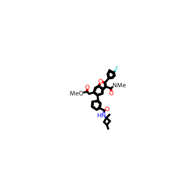 CNC(=O)c1c(-c2ccc(F)cc2)oc2cc(CC(=O)OC)c(-c3cccc(C(=O)NC4(C)CC(C)C4)c3)cc12